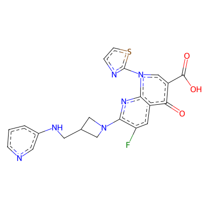 O=C(O)c1cn(-c2nccs2)c2nc(N3CC(CNc4cccnc4)C3)c(F)cc2c1=O